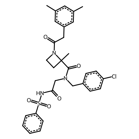 Cc1cc(C)cc(CC(=O)N2CCC2(C)C(=O)N(CC(=O)NS(=O)(=O)c2ccccc2)Cc2ccc(Cl)cc2)c1